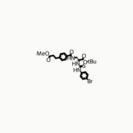 COC(=O)CCc1ccc(C(=O)NC[C@H](NC(=S)Nc2ccc(Br)cc2)C(=O)OC(C)(C)C)cc1